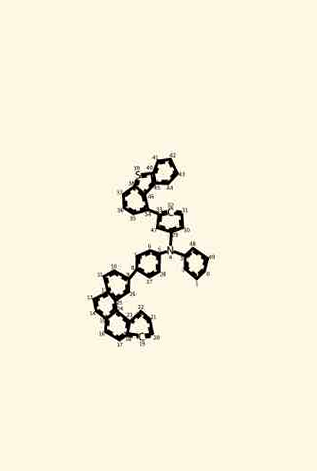 c1ccc(N(c2ccc(-c3ccc4ccc5ccc6ccccc6c5c4c3)cc2)c2cccc(-c3cccc4sc5ccccc5c34)c2)cc1